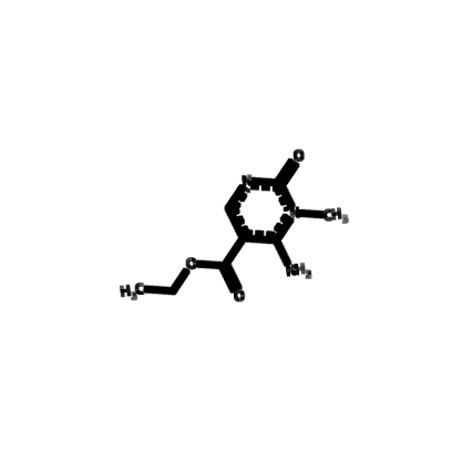 CCOC(=O)c1cnc(=O)n(C)c1N